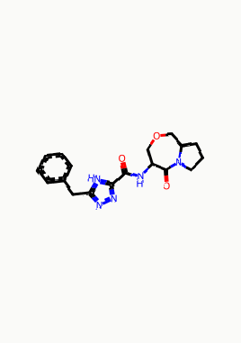 O=C(NC1COCC2CCCN2C1=O)c1nnc(Cc2ccccc2)[nH]1